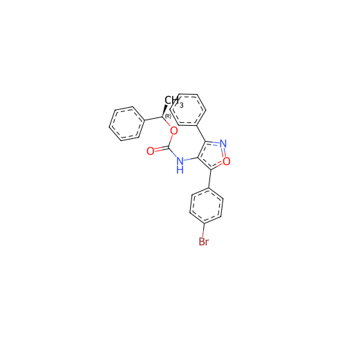 C[C@@H](OC(=O)Nc1c(-c2ccccc2)noc1-c1ccc(Br)cc1)c1ccccc1